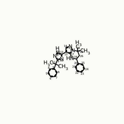 CC(C)(c1ccccc1)c1n[nH]c(-c2cnn3c2NC(c2ccccc2)CC3(C)C)n1